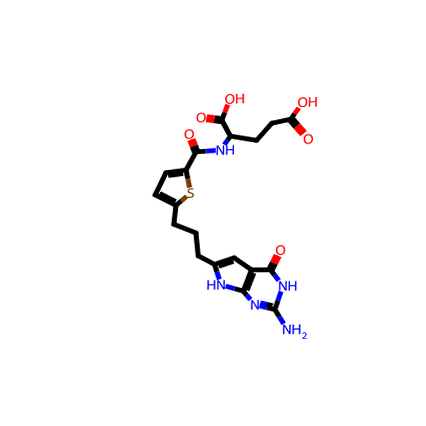 Nc1nc2[nH]c(CCCc3ccc(C(=O)NC(CCC(=O)O)C(=O)O)s3)cc2c(=O)[nH]1